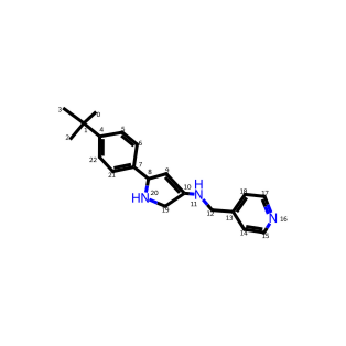 CC(C)(C)c1ccc(C2C=C(NCc3ccncc3)CN2)cc1